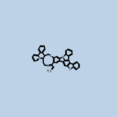 C=C/C1=N/CCC2C(CCc3cc4c(cc31)c1cc3oc5ccccc5c3c3c5ccccc5n4c13)c1ccccc1-c1cccc[n+]12